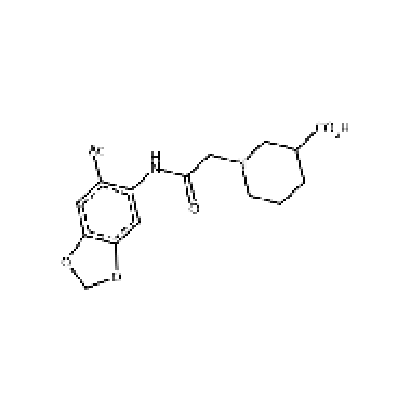 CC(=O)c1cc2c(cc1NC(=O)CN1CCCC(C(=O)O)C1)OCO2